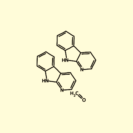 C=O.c1ccc2c(c1)[nH]c1ncccc12.c1ccc2c(c1)[nH]c1ncccc12